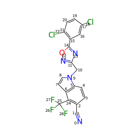 N#Cc1ccc2c(ccn2Cc2noc(-c3cc(Cl)ccc3Cl)n2)c1C(F)(F)F